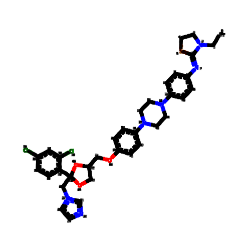 CC(C)CN1CCS/C1=N\c1ccc(N2CCN(c3ccc(OCC4COC(Cn5ccnc5)(c5ccc(Cl)cc5Cl)O4)cc3)CC2)cc1